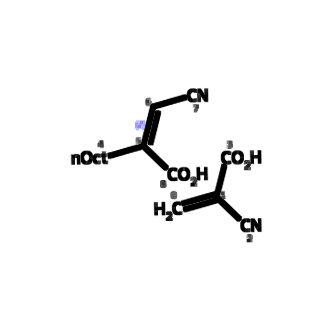 C=C(C#N)C(=O)O.CCCCCCCC/C(=C/C#N)C(=O)O